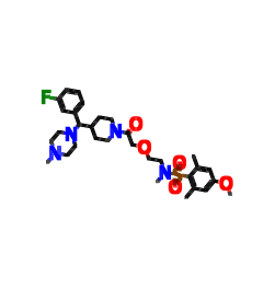 COc1cc(C)c(S(=O)(=O)N(C)CCOCC(=O)N2CCC(C(c3cccc(F)c3)N3CCN(C)CC3)CC2)c(C)c1